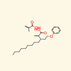 C=C(C(=O)O)C(CCCCCCCCC)CCOc1ccccc1.C=C(C)C(=O)O